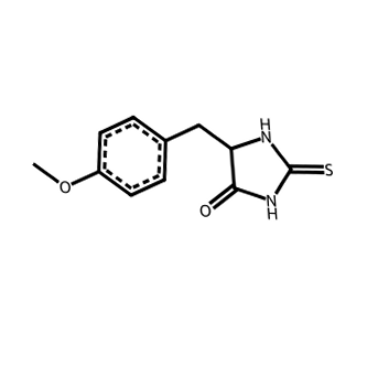 COc1ccc(CC2NC(=S)NC2=O)cc1